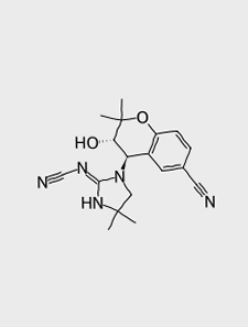 CC1(C)CN([C@@H]2c3cc(C#N)ccc3OC(C)(C)[C@H]2O)C(=NC#N)N1